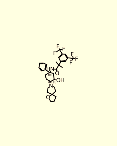 CC(C)(C(=O)N[C@]1(c2ccccc2)CC[C@@H](N2CCC3(CCCO3)CC2)[C@H](O)C1)c1cc(C(F)(F)F)cc(C(F)(F)F)c1